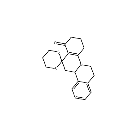 O=C1CCCC2=C1C1(CC3c4ccccc4CCN23)SCCCS1